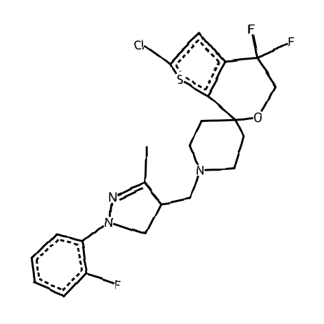 CC1=NN(c2ccccc2F)CC1CN1CCC2(CC1)OCC(F)(F)c1cc(Cl)sc12